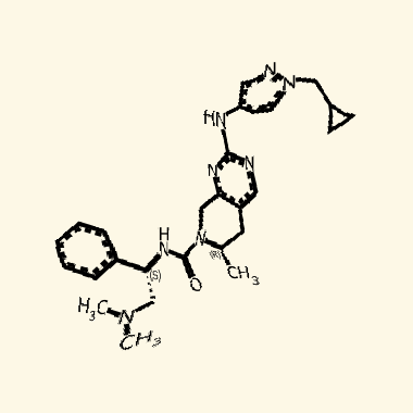 C[C@@H]1Cc2cnc(Nc3cnn(CC4CC4)c3)nc2CN1C(=O)N[C@H](CN(C)C)c1ccccc1